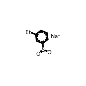 CCc1cccc(S(=O)[O-])c1.[Na+]